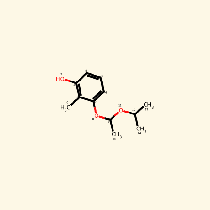 Cc1c(O)cccc1OC(C)OC(C)C